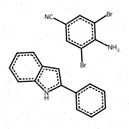 N#Cc1cc(Br)c(N)c(Br)c1.c1ccc(-c2cc3ccccc3[nH]2)cc1